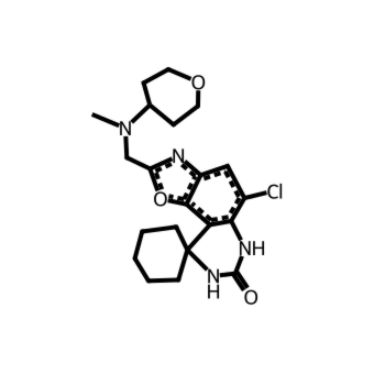 CN(Cc1nc2cc(Cl)c3c(c2o1)C1(CCCCC1)NC(=O)N3)C1CCOCC1